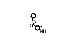 CNc1ccc(C(=O)OCc2ccccc2)cc1C